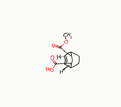 COC(=O)[C@H]1C2C=CC(CC2)[C@@H]1C(=O)O